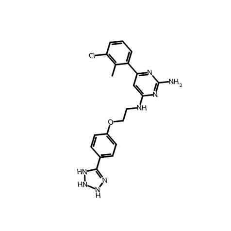 Cc1c(Cl)cccc1-c1cc(NCCOc2ccc(C3=NNNN3)cc2)nc(N)n1